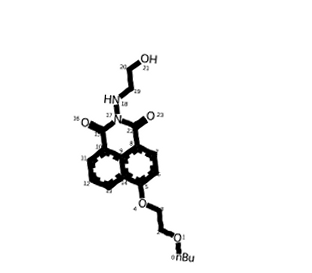 CCCCOCCOc1ccc2c3c(cccc13)C(=O)N(NCCO)C2=O